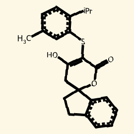 Cc1ccc(C(C)C)c(SC2=C(O)CC3(CCc4ccccc43)OC2=O)c1